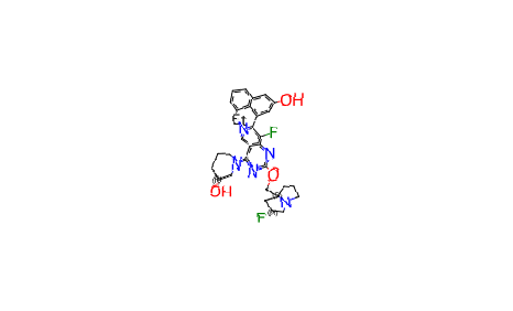 CCc1cccc2cc(O)cc(-c3ncc4c(N5CCC[C@@H](O)C5)nc(OC[C@@]56CCCN5C[C@H](F)C6)nc4c3F)c12